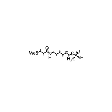 CSCCC(=O)NCCCCCCOP(C)(=O)S